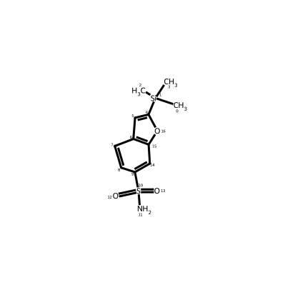 C[Si](C)(C)c1cc2ccc(S(N)(=O)=O)cc2o1